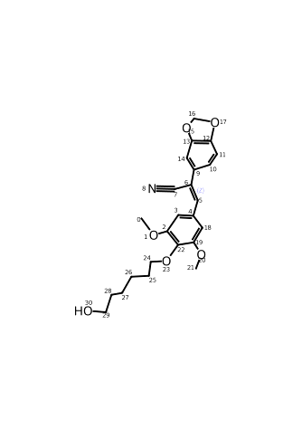 COc1cc(/C=C(\C#N)c2ccc3c(c2)OCO3)cc(OC)c1OCCCCCCO